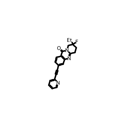 CCC1(F)CCc2nc3cc(C#Cc4ccccn4)ccc3c(=O)n2C1